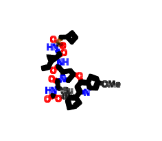 C=CC1CC1(NC(=O)C1CC(Oc2cc(-c3ccccc3)nc3cc(OC)ccc23)CN1C(=O)C(NC(=O)OC(C)(C)C)C(C)(C)C)C(=O)NS(=O)(=O)CC1CCC1